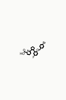 O=C(O)c1cccc(C2=C(c3cc(F)ccc3OCc3ccc(Br)cc3)CCC2)n1